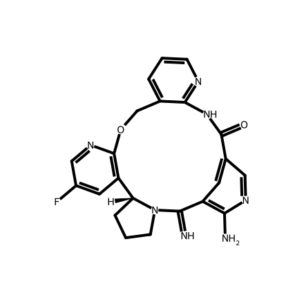 N=C1c2cc(cnc2N)C(=O)Nc2ncccc2COc2ncc(F)cc2[C@H]2CCCN12